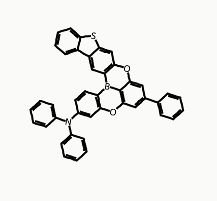 c1ccc(-c2cc3c4c(c2)Oc2cc5sc6ccccc6c5cc2B4c2ccc(N(c4ccccc4)c4ccccc4)cc2O3)cc1